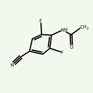 CC(=O)Nc1c(F)cc(C#N)cc1F